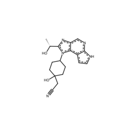 C[C@@H](O)c1nc2cnc3[nH]ccc3c2n1C1CCC(O)(CC#N)CC1